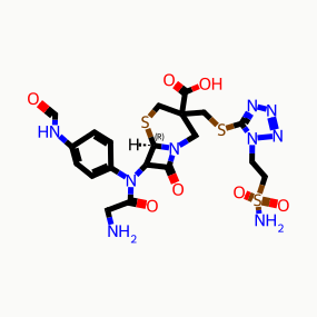 NCC(=O)N(c1ccc(NC=O)cc1)C1C(=O)N2CC(CSc3nnnn3CCS(N)(=O)=O)(C(=O)O)CS[C@H]12